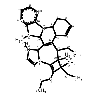 CCOC1=C2N3C=CN(C)C3C3=C(C4C=CCCC4N4c5nccnc5N(C)C34)C(CC)[C@]2(C)C1(C)CC